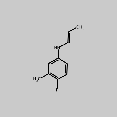 CC=CNc1ccc(F)c(C)c1